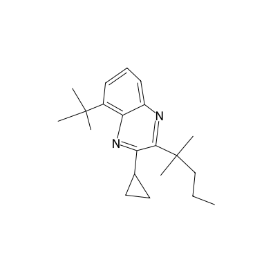 CCCC(C)(C)c1nc2cccc(C(C)(C)C)c2nc1C1CC1